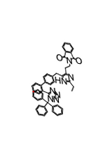 CCc1nc(CCN2C(=O)c3ccccc3C2=O)c(Cc2ccc(-c3ccccc3-c3nnnn3C(c3ccccc3)(c3ccccc3)c3ccccc3)cc2)[nH]1